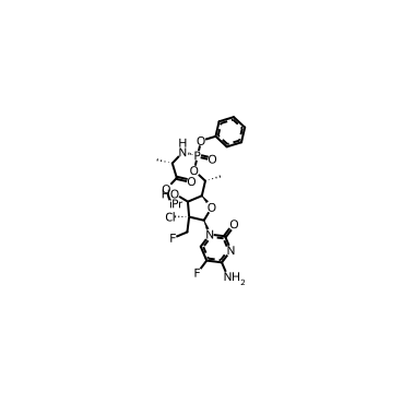 CC(C)OC(=O)[C@H](C)N[P@@](=O)(Oc1ccccc1)O[C@H](C)[C@H]1O[C@@H](n2cc(F)c(N)nc2=O)[C@@](Cl)(CF)C1O